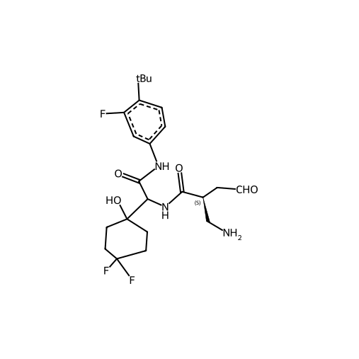 CC(C)(C)c1ccc(NC(=O)C(NC(=O)[C@H](CN)CC=O)C2(O)CCC(F)(F)CC2)cc1F